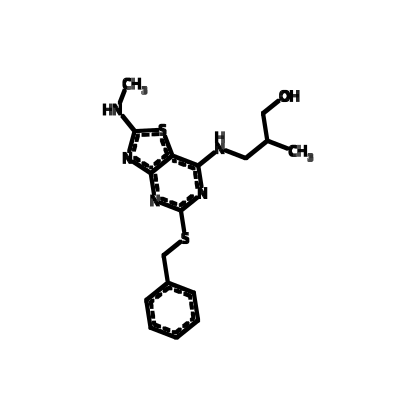 CNc1nc2nc(SCc3ccccc3)nc(NCC(C)CO)c2s1